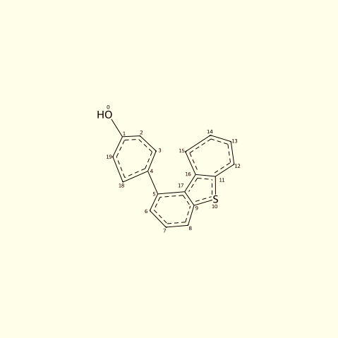 Oc1ccc(-c2cccc3sc4ccccc4c23)cc1